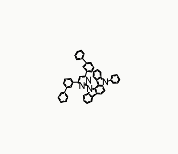 c1ccc(-c2cccc(-c3cc(-c4cccc(-c5ccccc5)c4)nc(-n4c5ccccc5c5ccc6c(c7ccccc7n6-c6ccccc6)c54)n3)c2)cc1